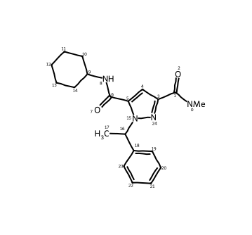 CNC(=O)c1cc(C(=O)NC2CCCCC2)n(C(C)c2ccccc2)n1